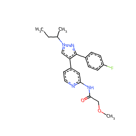 CCC(C)n1cc(-c2ccnc(NC(=O)COC)c2)c(-c2ccc(F)cc2)n1